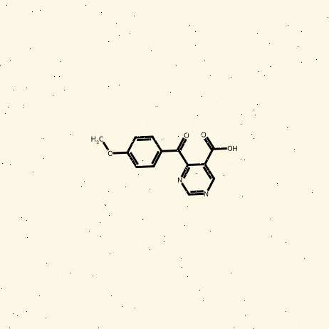 COc1ccc(C(=O)c2ncncc2C(=O)O)cc1